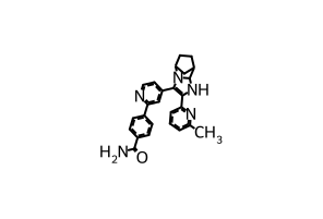 Cc1cccc(C2=C(c3ccnc(-c4ccc(C(N)=O)cc4)c3)N3C4CCC(C4)C3N2)n1